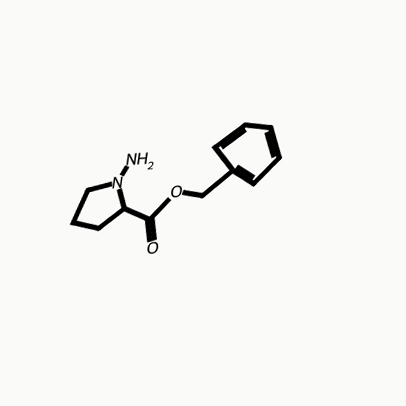 NN1CCCC1C(=O)OCc1ccccc1